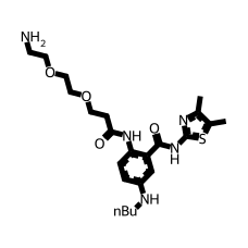 CCCCNc1ccc(NC(=O)CCOCCOCCN)c(C(=O)Nc2nc(C)c(C)s2)c1